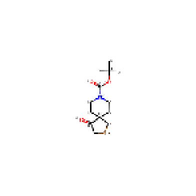 CC(C)(C)OC(=O)N1CCC2(CC1)CSCC2=O